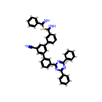 N#Cc1cc(-c2cccc(C(=N)SC(=N)c3ccccc3)c2)cc(-c2cccc(-c3nc(-c4ccccc4)nc(-c4ccccc4)n3)c2)c1